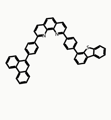 c1ccc2c(c1)cc(-c1ccc(-c3ccc4ccc5ccc(-c6ccc(-c7cccc8c7sc7ccccc78)cc6)nc5c4n3)cc1)c1ccccc12